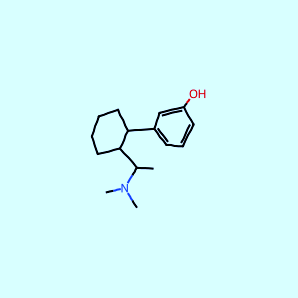 CC(C1CCCCC1c1cccc(O)c1)N(C)C